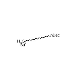 CCCCCCCCCCCCCCCCCCCCCCCCCCC(C)CC(C)CC